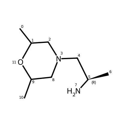 CC1CN(C[C@@H](C)N)CC(C)O1